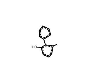 Cc1cccc(O)c1-c1ccccc1